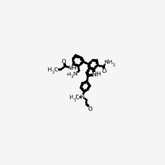 C=CC(=O)Nc1cccc(-c2ccc(C(N)=O)c3[nH]c(-c4ccc(N(C)CC=O)cc4)cc23)c1CN